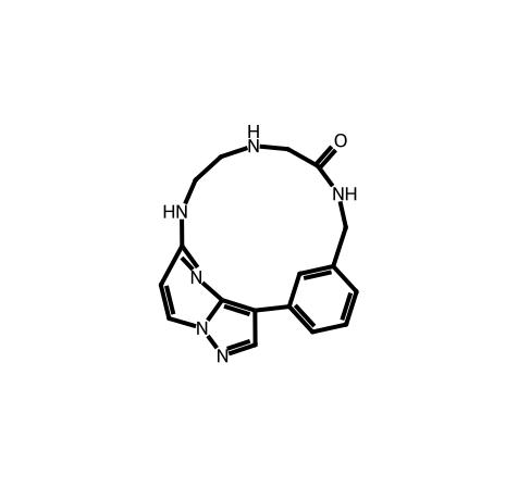 O=C1CNCCNc2ccn3ncc(c3n2)-c2cccc(c2)CN1